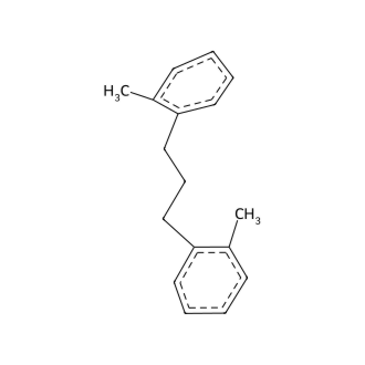 Cc1ccccc1CCCc1ccccc1C